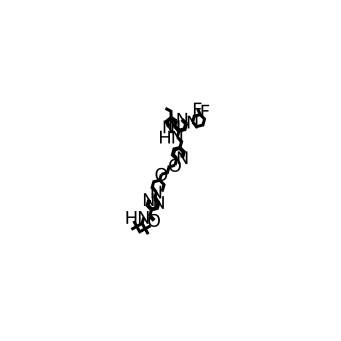 CCc1cnn2c(NCc3ccc(OCCOC4CCN(c5ncc(C(=O)NC6C(C)(C)CC6(C)C)cn5)CC4)nc3)cc(N3CCCC(F)(F)C3)nc12